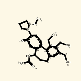 CC[C@H]1CCCN1c1ccc2c(cc1=O)C(NC(C)=O)CCc1cc(CO)c(CO)c(CO)c1-2